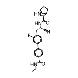 CCNC(=O)c1ccc(-c2ccc(C[C@@H](C#N)NC(=O)C3NC4CCC3C4)c(F)c2)cc1